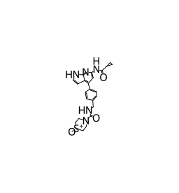 O=C(Nc1cc(-c2ccc(CNC(=O)N3CC[S+]([O-])CC3)cc2)c2cc[nH]c2n1)C1CC1